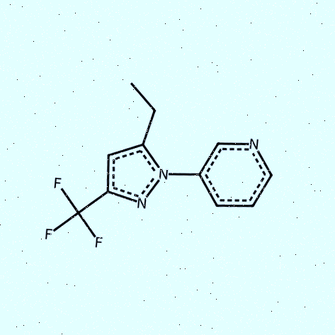 CCc1cc(C(F)(F)F)nn1-c1cccnc1